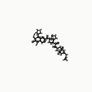 CC[C@@H]1C(=O)N(C)c2cnc(Nc3ccc(C(=O)NC4C[C@@H]5CN(CC6CC6)C[C@@H]5C4)c4c3OCC4)nc2N1C1CCCC1